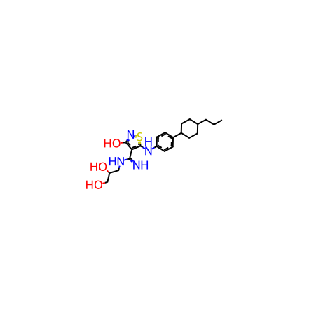 CCCC1CCC(c2ccc(Nc3snc(O)c3C(=N)NCC(O)CO)cc2)CC1